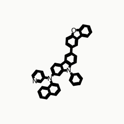 c1ccc(-n2c3ccc(-c4ccc5oc6ccccc6c5c4)cc3c3ccc(N(c4cccnc4)c4cccc5ccccc45)cc32)cc1